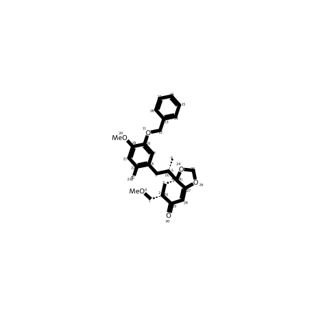 COC[C@@H]1C[C@]2([C@@H](C)Cc3cc(OCc4ccccc4)c(OC)cc3F)OCOC2=CC1=O